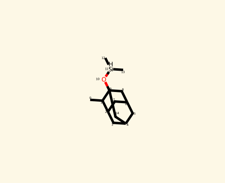 CC1C2CC3CC(C2)CC1(O[SiH](C)C)C3